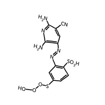 N#Cc1cc(/N=N/c2cc(SOOO)ccc2S(=O)(=O)O)c(N)nc1N